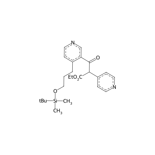 CCOC(=O)C(C(=O)c1cnccc1CCCO[Si](C)(C)C(C)(C)C)c1ccncc1